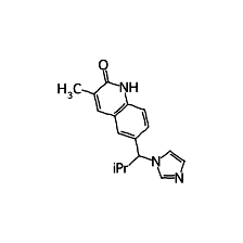 Cc1cc2cc(C(C(C)C)n3ccnc3)ccc2[nH]c1=O